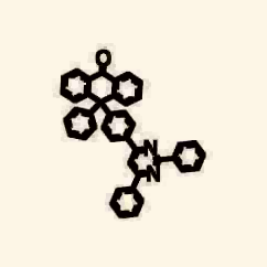 O=C1c2ccccc2C(c2ccccc2)(c2ccc(-c3cc(-c4ccccc4)nc(-c4ccccc4)n3)cc2)c2ccccc21